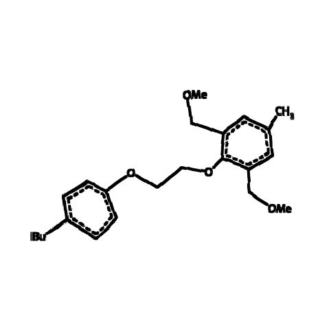 CCC(C)c1ccc(OCCOc2c(COC)cc(C)cc2COC)cc1